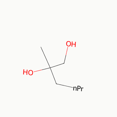 [CH2]CCCC(C)(O)CO